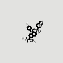 CC(F)(c1ccc2c(c1)CC[C@H]1N(C(=O)C3CCc4cncn4C3)CC[C@@]21Cc1ccc(F)cc1)C(F)(F)F